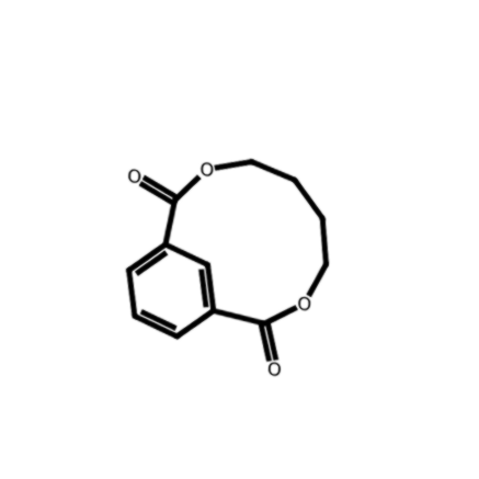 O=C1OCCCCOC(=O)c2cccc1c2